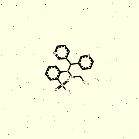 CS(=O)(=O)c1ccccc1C(NCC(F)(F)F)C(c1cccnc1)c1cccnc1